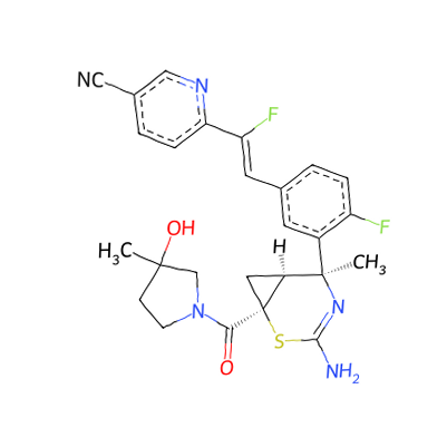 CC1(O)CCN(C(=O)[C@]23C[C@H]2[C@@](C)(c2cc(/C=C(\F)c4ccc(C#N)cn4)ccc2F)N=C(N)S3)C1